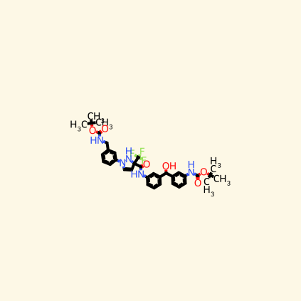 CC(C)(C)OC(=O)NCc1cccc(N2C=CC(C(=O)Nc3cccc(C(O)c4cccc(NC(=O)OC(C)(C)C)c4)c3)(C(F)(F)F)N2)c1